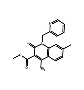 COC(=O)c1c(N)c2ccc(I)cc2n(Cc2ccccn2)c1=O